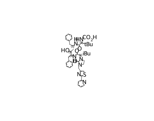 CCC(C)[C@@H](C(=O)N[C@@H](Cc1ccccc1)[C@@H](O)C[C@H](Cc1ccccc1)NC(=O)[C@@H](NC(=O)O)C(C)(C)C)N1CCN(Cc2csc(-c3ccccn3)n2)C1=O